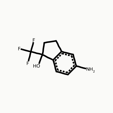 Nc1ccc2c(c1)CCC2(O)C(F)(F)F